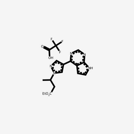 CCOC(=O)CC(C)n1cc(-c2ncnc3[nH]ccc23)cn1.O=C(O)C(F)(F)F